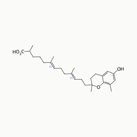 C/C(=C\CCC1(C)CCc2cc(O)cc(C)c2O1)CC/C=C(\C)CCCC(C)C(=O)O